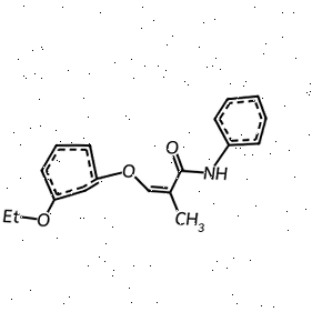 CCOc1cccc(OC=C(C)C(=O)Nc2ccccc2)c1